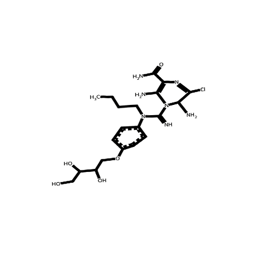 CCCCN(C(=N)N1C(N)=C(C(N)=O)N=C(Cl)C1N)c1ccc(OCC(O)C(O)CO)cc1